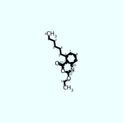 CCCCCCc1cccc2nc(OCC)oc(=O)c12